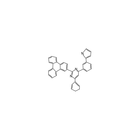 C1=CC(c2cc(-c3cccc(-c4cccnc4)c3)nc(-c3ccc4c5ccccc5c5ccccc5c4c3)n2)=CCC1